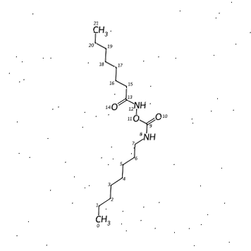 CCCCCCCCNC(=O)ONC(=O)CCCCCCC